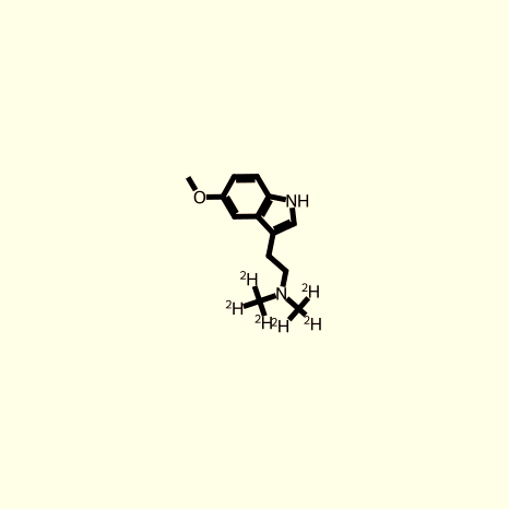 [2H]C([2H])([2H])N(CCc1c[nH]c2ccc(OC)cc12)C([2H])([2H])[2H]